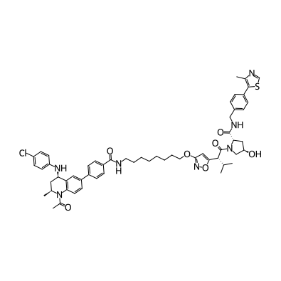 CC(=O)N1c2ccc(-c3ccc(C(=O)NCCCCCCCCOc4cc([C@H](C(=O)N5C[C@H](O)C[C@H]5C(=O)NCc5ccc(-c6scnc6C)cc5)C(C)C)on4)cc3)cc2[C@H](Nc2ccc(Cl)cc2)C[C@@H]1C